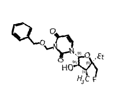 CC[C@@]1(CF)O[C@@H](n2ccc(=O)n(COCc3ccccc3)c2=O)[C@H](O)[C@@H]1C